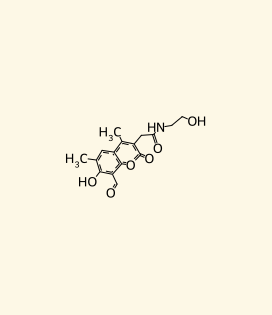 Cc1cc2c(C)c(CC(=O)NCCO)c(=O)oc2c(C=O)c1O